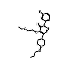 CCCSN1CCN(c2cnn(-c3cccc(F)c3)c(=O)c2OCCOCC)CC1